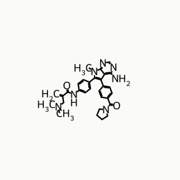 C=C(CN(C)C)C(=O)Nc1ccc(-c2c(-c3ccc(C(=O)N4CCCC4)cc3)c3c(N)ncnc3n2C)cc1